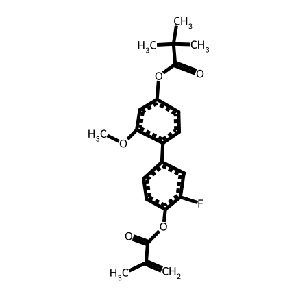 C=C(C)C(=O)Oc1ccc(-c2ccc(OC(=O)C(C)(C)C)cc2OC)cc1F